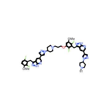 CCN1CCC(n2cc(-c3cnc4[nH]nc(Cc5c(F)c(OC)cc(OCCCN6CCC(n7cc(-c8cnc9[nH]nc(Cc%10c(F)ccc(OC)c%10F)c9c8)cn7)CC6)c5F)c4c3)cn2)CC1